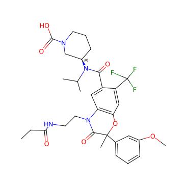 CCC(=O)NCCN1C(=O)C(C)(c2cccc(OC)c2)Oc2cc(C(F)(F)F)c(C(=O)N(C(C)C)[C@@H]3CCCN(C(=O)O)C3)cc21